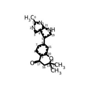 Cc1ncc2c(-c3ccc4c(c3)OC(C)(C)CC4=O)c[nH]c2n1